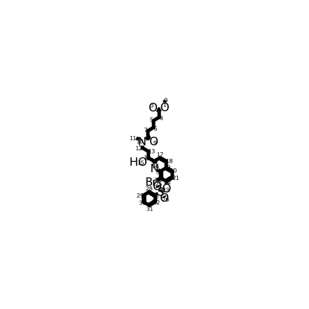 COC(=O)CCCCC(=O)N(C)CCC(O)c1ccc2ccc(OS(=O)(=O)c3ccccc3)c(Br)c2n1